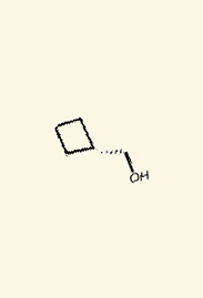 OC[C@@H]1[CH]CC1